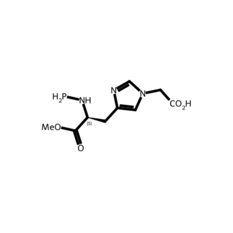 COC(=O)[C@H](Cc1cn(CC(=O)O)cn1)NP